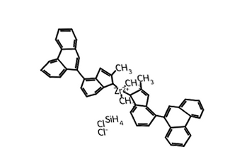 CC1=Cc2c(-c3cc4ccccc4c4ccccc34)cccc2[CH]1[Zr+2]([CH3])([CH3])[CH]1C(C)=Cc2c(-c3cc4ccccc4c4ccccc34)cccc21.[Cl-].[Cl-].[SiH4]